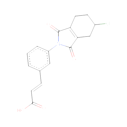 O=C(O)C=Cc1cccc(N2C(=O)C3=C(CC(Cl)CC3)C2=O)c1